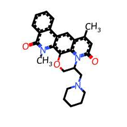 Cc1cc(=O)n2c3c(c4c(cc13)c1ccccc1c(=O)n4C)OCC2CN1CCCCC1